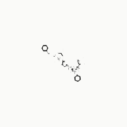 CC(C)OC(=O)[C@H](C)NP(=O)(OC[C@@H]1C[C@H](C)[C@H](N2C=CC(O)N(COCc3ccccc3)C2=O)O1)Oc1ccccc1